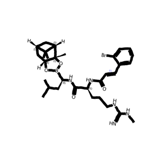 CNC(=N)NCCC[C@H](NC(=O)/C=C/c1ccccc1Br)C(=O)N[C@@H](CC(C)C)B1O[C@@H]2C[C@@H]3C[C@@H](C3(C)C)[C@]2(C)O1